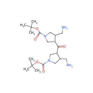 CC(C)(C)OC(=O)N1CC(CN)C(C(=O)C2CN(C(=O)OC(C)(C)C)CC2CN)C1